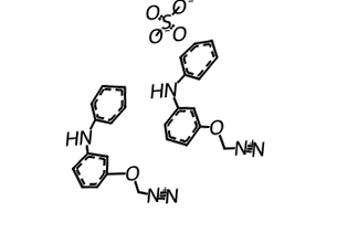 N#[N+]COc1cccc(Nc2ccccc2)c1.N#[N+]COc1cccc(Nc2ccccc2)c1.O=S(=O)([O-])[O-]